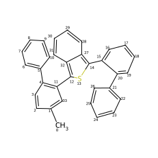 Cc1ccc(-c2ccccc2)c(-c2sc(-c3ccccc3-c3ccccc3)c3ccccc23)c1